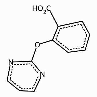 O=C(O)c1ccccc1Oc1ncccn1